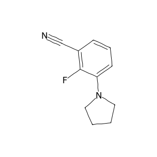 N#Cc1cccc(N2CCCC2)c1F